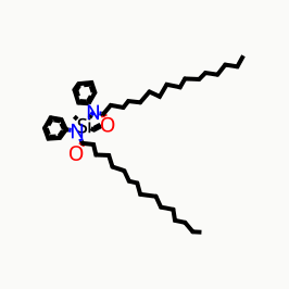 C=C[Si](C)(N(C(=O)CCCCCCCCCCCCCCC)c1ccccc1)N(C(=O)CCCCCCCCCCCCCCC)c1ccccc1